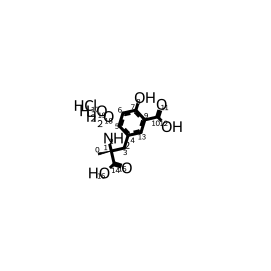 C[C@@](N)(Cc1ccc(O)c(C(=O)O)c1)C(=O)O.Cl.O.O